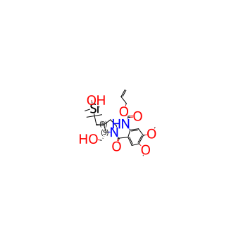 C=CCOC(=O)Nc1cc(OC)c(OC)cc1C(=O)N1CC[C@H](CC(C)(C)[Si](C)(C)O)[C@H]1CO